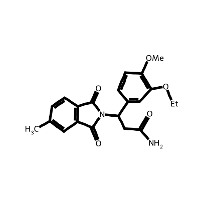 CCOc1cc(C(CC(N)=O)N2C(=O)c3ccc(C)cc3C2=O)ccc1OC